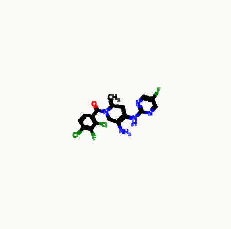 CC1CC(Nc2ncc(F)cn2)=C(N)CN1C(=O)c1ccc(Cl)c(F)c1Cl